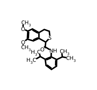 COc1cc2c(cc1OC)C(C(=O)Nc1c(C(C)C)cccc1C(C)C)SCC2